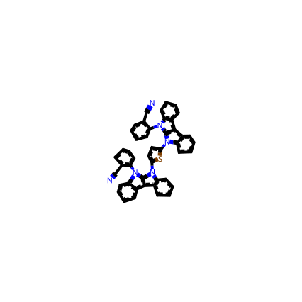 N#Cc1ccccc1-n1c2ccccc2c2c3ccccc3n(-c3ccc(-n4c5ccccc5c5c6ccccc6n(-c6ccccc6C#N)c54)s3)c21